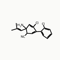 CC(C)=CC1(N)C=C(Cl)C(c2ccccc2Cl)=CC1C#N